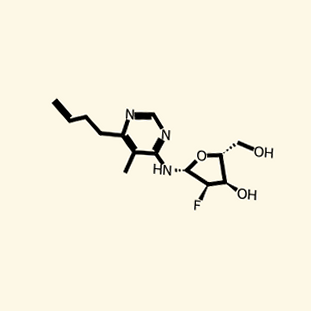 C=CCCc1ncnc(N[C@@H]2O[C@H](CO)[C@@H](O)[C@H]2F)c1C